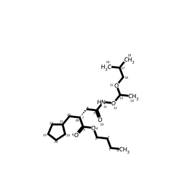 CCCCOC(=O)[C@@H](CC(=O)NOC(C)OCC(C)C)CC1CCCC1